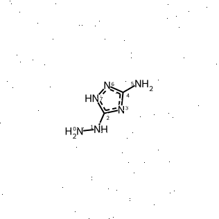 NNc1nc(N)n[nH]1